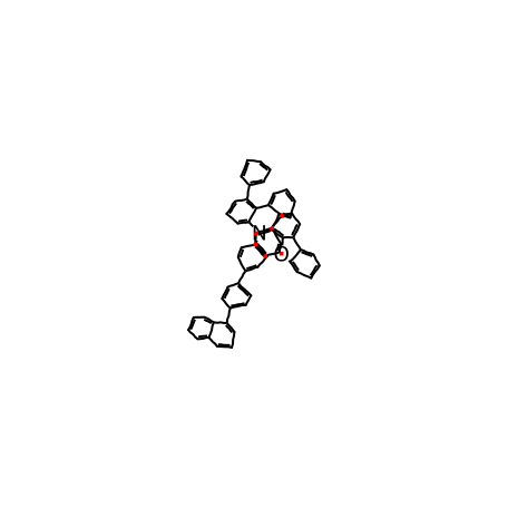 c1ccc(-c2ccccc2-c2c(-c3ccccc3)cccc2N(c2ccc(-c3ccc(-c4cccc5ccccc45)cc3)cc2)c2cccc3c2oc2ccccc23)cc1